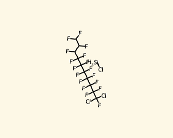 FC(F)C(F)C(F)C(F)(F)C(F)(F)C(F)(F)C(F)(F)C(F)(F)C(F)(F)C(F)(Cl)Cl.[SiH3]Cl